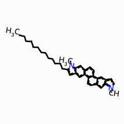 CCCCCCCCCCCCCCc1cc2cc3c(ccc4c5cc6ccn(C)c6cc5ccc34)cc2n1C